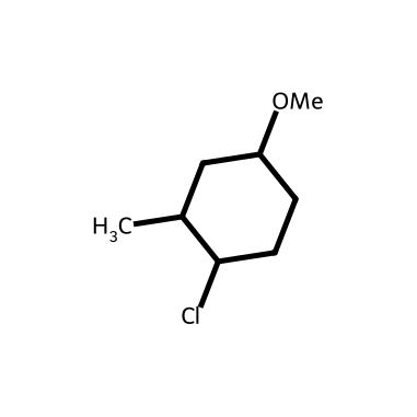 COC1CCC(Cl)C(C)C1